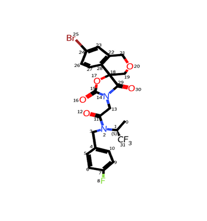 C[C@H](N(Cc1ccc(F)cc1)C(=O)CN1C(=O)OC2(COCc3cc(Br)ccc32)C1=O)C(F)(F)F